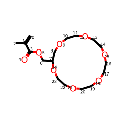 C=C(C)C(=O)OCC1COCCOCCOCCOCCOCCO1